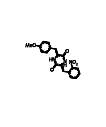 COc1ccc(C=c2[nH]c(=O)c(=Cc3ccccc3[N+](=O)[O-])[nH]c2=O)cc1